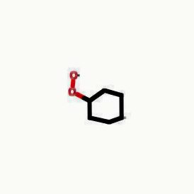 [O]OC1CC[CH]CC1